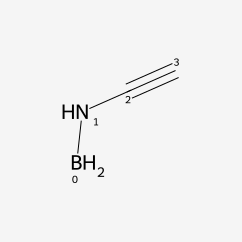 BNC#C